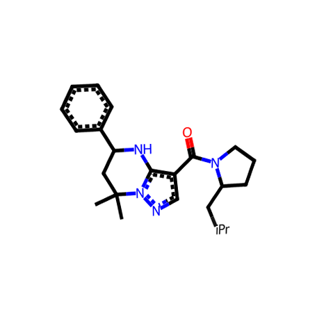 CC(C)CC1CCCN1C(=O)c1cnn2c1NC(c1ccccc1)CC2(C)C